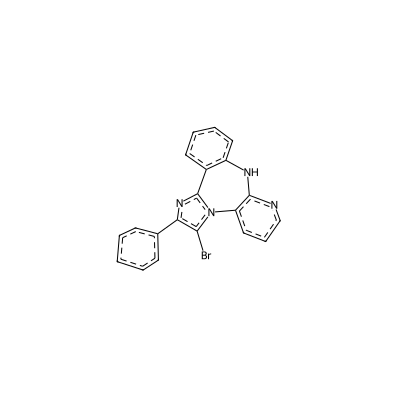 Brc1c(-c2ccccc2)nc2n1-c1cccnc1Nc1ccccc1-2